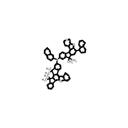 CC1(C)c2cc(N(c3ccc4c(c3)C(C)(C)c3c5c(c6oc7ccccc7c6c3-4)-c3ccccc3C5(C)C)c3ccc4ccccc4c3)ccc2-c2c1cc(-c1cccc3ccccc13)c1oc3ccccc3c21